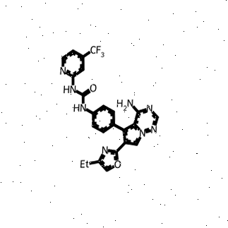 [CH2]Cc1coc(-c2cn3ncnc(N)c3c2-c2ccc(NC(=O)Nc3cc(C(F)(F)F)ccn3)cc2)n1